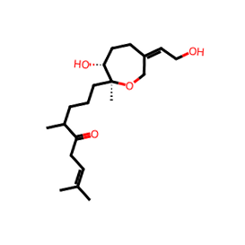 CC(C)=CCC(=O)C(C)CCC[C@]1(C)OCC(=CCO)CC[C@H]1O